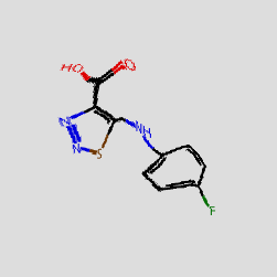 O=C(O)c1nnsc1Nc1ccc(F)cc1